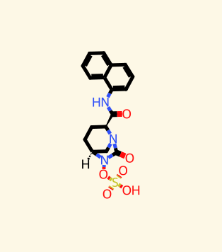 O=C(Nc1cccc2ccccc12)[C@@H]1CC[C@H]2CN1C(=O)N2OS(=O)(=O)O